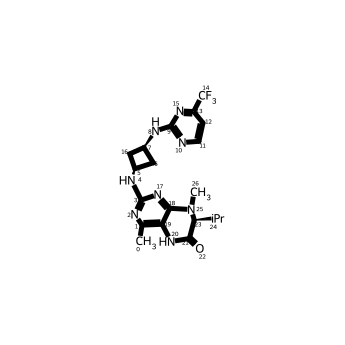 Cc1nc(N[C@H]2C[C@H](Nc3nccc(C(F)(F)F)n3)C2)nc2c1NC(=O)[C@H](C(C)C)N2C